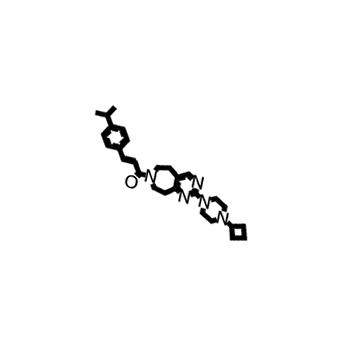 CC(C)c1ccc(C=CC(=O)N2CCc3cnc(N4CCN(C5CCC5)CC4)nc3CC2)cc1